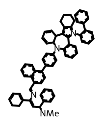 CNC(/C=C(\N=C\c1ccc(-c2ccc(N3c4ccccc4-c4c(c5c(n4-c4ccccc4-c4ccccc4)CCCC5)C4C=CC=CC43)cc2)c2ccccc12)C1=CC=CCC1)c1ccccc1